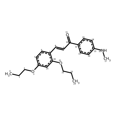 CCCOc1ccc(C=CC(=O)c2ccc(NC)cc2)c(OCCC)c1